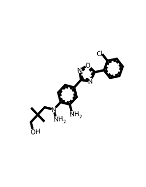 CC(C)(CO)CN(N)c1ccc(-c2noc(-c3ccccc3Cl)n2)cc1N